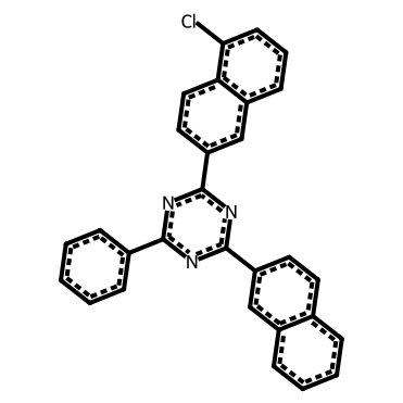 Clc1cccc2cc(-c3nc(-c4ccccc4)nc(-c4ccc5ccccc5c4)n3)ccc12